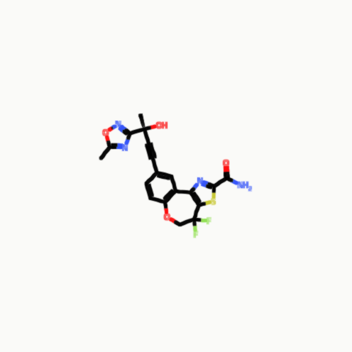 Cc1nc([C@](C)(O)C#Cc2ccc3c(c2)-c2nc(C(N)=O)sc2C(F)(F)CO3)no1